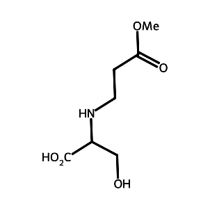 COC(=O)CCNC(CO)C(=O)O